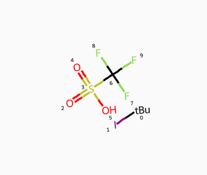 CC(C)(C)I.O=S(=O)(O)C(F)(F)F